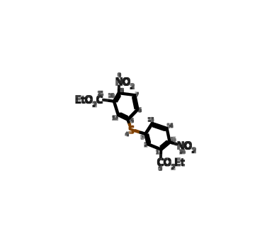 CCOC(=O)c1cc(Sc2ccc([N+](=O)[O-])c(C(=O)OCC)c2)ccc1[N+](=O)[O-]